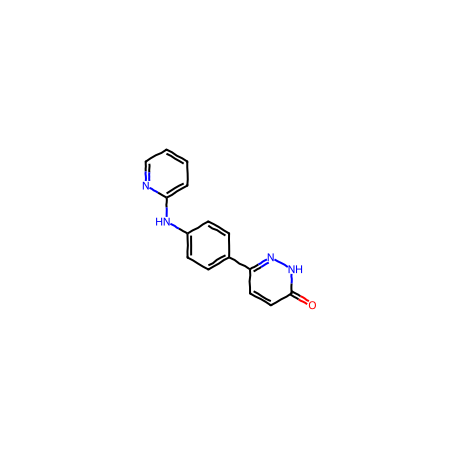 O=c1ccc(-c2ccc(Nc3ccccn3)cc2)n[nH]1